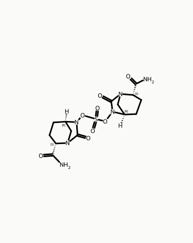 NC(=O)[C@@H]1CC[C@@H]2CN1C(=O)N2OS(=O)(=O)ON1C(=O)N2C[C@H]1CC[C@H]2C(N)=O